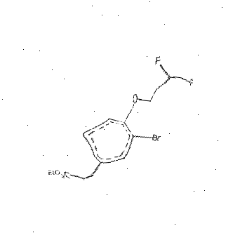 CCOC(=O)Cc1ccc(OCC(F)F)c(Br)c1